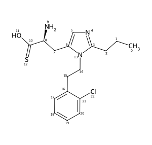 CCCc1ncc(C[C@H](N)C(O)=S)n1CCc1ccccc1Cl